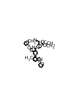 Cc1ccc2c(cnn2C2CCCCO2)c1N1CCc2c(nc(OC[C@@H]3CCCN3C)nc2N2CCN(C(=O)OC(C)(C)C)C(CC#N)C2)C1